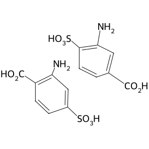 Nc1cc(C(=O)O)ccc1S(=O)(=O)O.Nc1cc(S(=O)(=O)O)ccc1C(=O)O